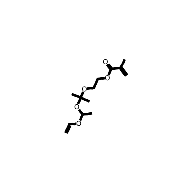 C=COC(C)OC(C)(C)OCCOC(=O)C(=C)C